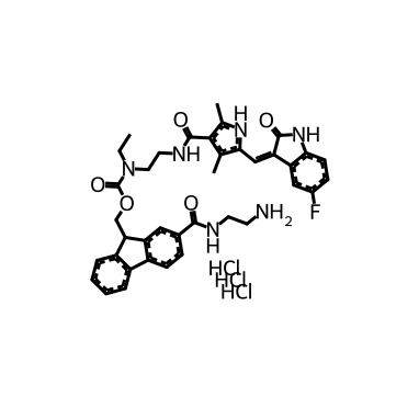 CCN(CCNC(=O)c1c(C)[nH]c(C=C2C(=O)Nc3ccc(F)cc32)c1C)C(=O)OCC1c2ccccc2-c2ccc(C(=O)NCCN)cc21.Cl.Cl.Cl